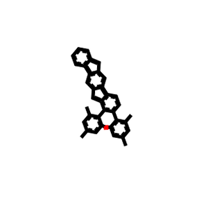 Cc1cc(C)c(-c2ccc3c(c2-c2c(C)cc(C)cc2C)=Cc2cc4c(cc2=3)C=c2ccccc2=4)c(C)c1